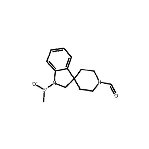 C[S+]([O-])N1CC2(CCN(C=O)CC2)c2ccccc21